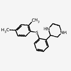 Cc1ccc(Sc2ccccc2C2CNCCN2)c(C)c1